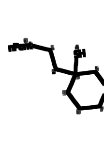 CCCCCCCC1(S)CCCCC1